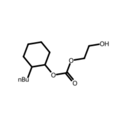 CCCCC1CCCCC1OC(=O)OCCO